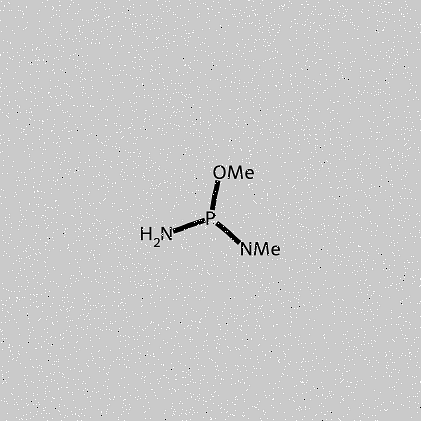 CNP(N)OC